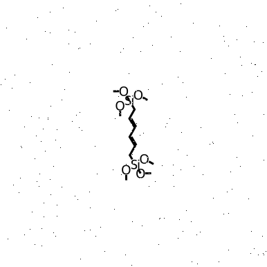 CO[Si](CC=CC=CC[Si](OC)(OC)OC)(OC)OC